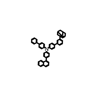 c1ccc(-c2ccc(N(c3ccc(-c4cccc(C56CC7CC(CC(C7)C5)C6)c4)cc3)c3ccc(-c4cccc5ccccc45)cc3)cc2)cc1